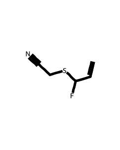 C=CC(F)SCC#N